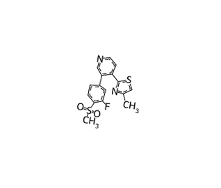 Cc1csc(-c2ccncc2-c2ccc(S(C)(=O)=O)c(F)c2)n1